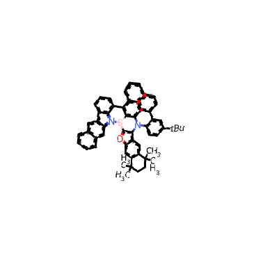 CC(C)(C)c1ccc(N2c3cc4ccccc4c4c3B(c3oc5cc6c(cc5c32)C(C)(C)CCC6(C)C)n2c3cc5ccccc5cc3c3cccc-4c32)c(-c2ccccc2)c1